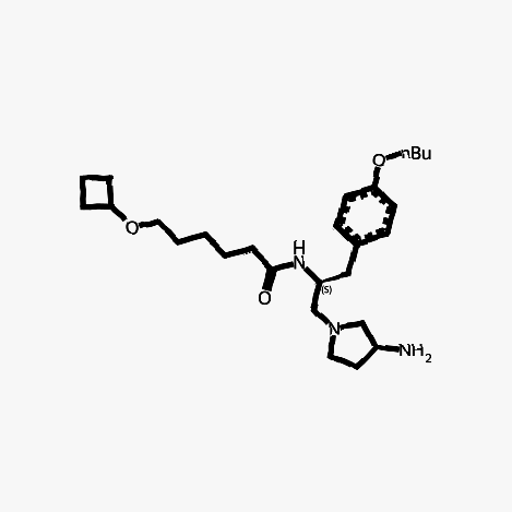 CCCCOc1ccc(C[C@@H](CN2CCC(N)C2)NC(=O)CCCCCOC2CCC2)cc1